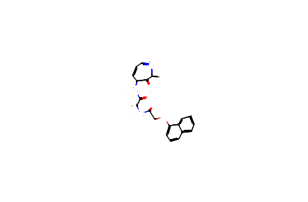 CC1N=CC=CC(NC(=O)[C@H](C)NC(=O)COc2cccc3ccccc23)C1=O